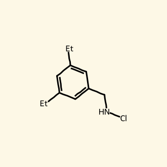 CCc1cc(CC)cc(CNCl)c1